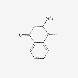 Cn1c(N)cc(=O)c2ccccc21